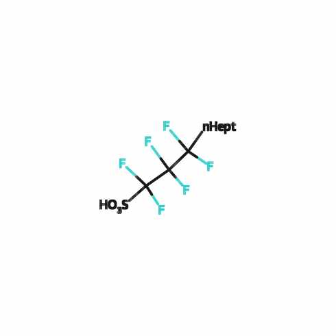 CCCCCCCC(F)(F)C(F)(F)C(F)(F)S(=O)(=O)O